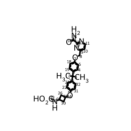 CC(C)(c1ccc(OCc2ccnc(C(N)=O)n2)cc1)c1ccc(OC2CC(NC(=O)O)C2)cc1